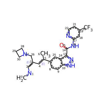 C=N/C=C(\C=C(/C)c1ccc2[nH]nc(C(=O)Nc3cc(C(F)(F)F)ccn3)c2c1)CN1CCC1